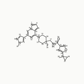 Cn1cc(-c2cn3nccc3c(N3CCC(F)(CNC(=O)c4noc(C5(C)CC5)n4)CC3)n2)cn1